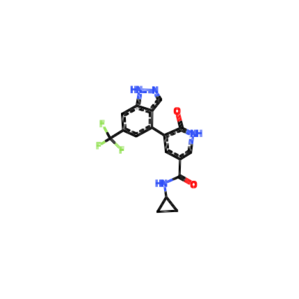 O=C(NC1CC1)c1c[nH]c(=O)c(-c2cc(C(F)(F)F)cc3[nH]ncc23)c1